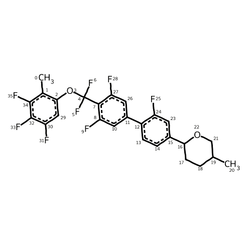 Cc1c(OC(F)(F)c2c(F)cc(-c3ccc(C4CCC(C)CO4)cc3F)cc2F)cc(F)c(F)c1F